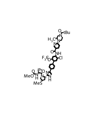 COC(=O)N[C@H](C(=O)N1C[C@@H](SC)C[C@H]1c1nc(-c2ccc(-c3cc(Cl)c(NC(=O)c4ccc(N5CCN(C(=O)C(C)(C)C)C[C@H]5C)nc4)cc3OC(F)(F)F)cc2)c[nH]1)C(C)C